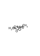 CCC(=O)Nc1cccc(C(=O)C=CN(C)C)c1